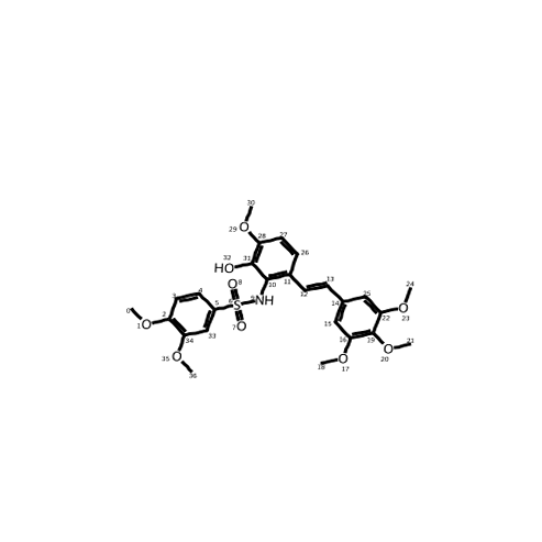 COc1ccc(S(=O)(=O)Nc2c(C=Cc3cc(OC)c(OC)c(OC)c3)ccc(OC)c2O)cc1OC